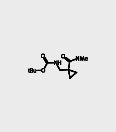 CNC(=O)C1(CNC(=O)OC(C)(C)C)CC1